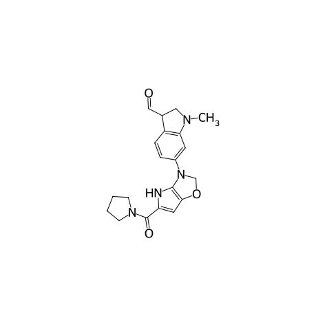 CN1CC(C=O)c2ccc(N3COc4cc(C(=O)N5CCCC5)[nH]c43)cc21